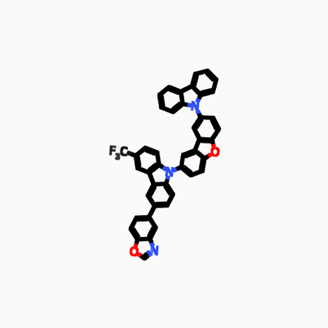 FC(F)(F)c1ccc2c(c1)c1cc(-c3ccc4ocnc4c3)ccc1n2-c1ccc2oc3ccc(-n4c5ccccc5c5ccccc54)cc3c2c1